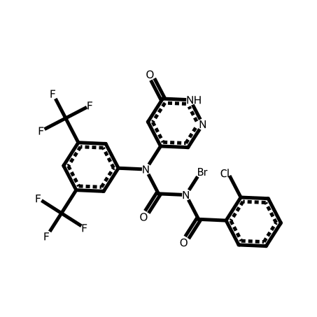 O=C(c1ccccc1Cl)N(Br)C(=O)N(c1cc(C(F)(F)F)cc(C(F)(F)F)c1)c1cn[nH]c(=O)c1